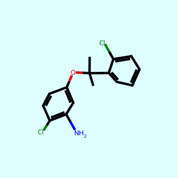 CC(C)(Oc1ccc(Cl)c(N)c1)c1ccccc1Cl